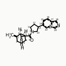 C=C1C[C@@H]2CC[C@H]1[C@@H](C(=O)N1CCC(c3ccc4cncn4c3)C1)N2